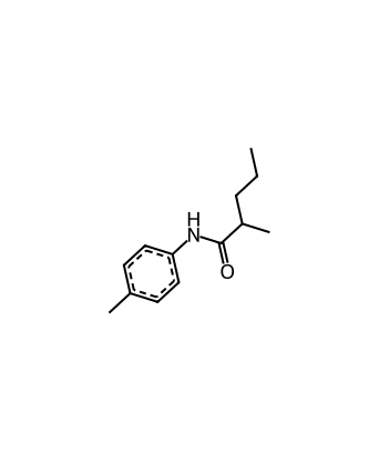 CCCC(C)C(=O)Nc1ccc(C)cc1